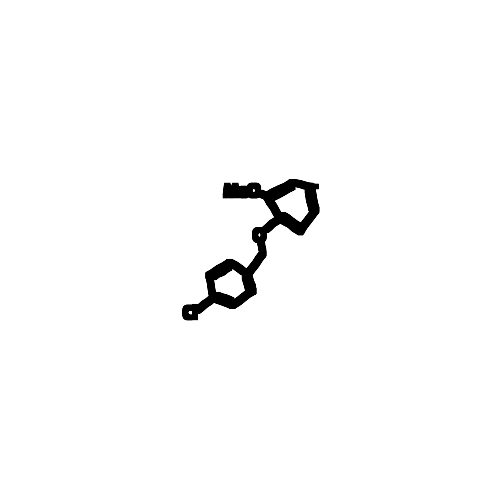 COc1c[c]ccc1OCc1ccc(Cl)cc1